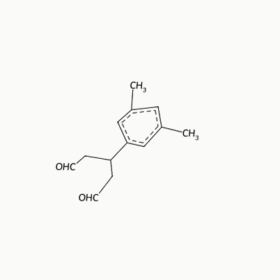 Cc1cc(C)cc(C(CC=O)CC=O)c1